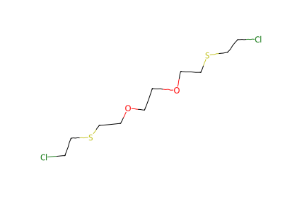 ClCCSCCOCCOCCSCCCl